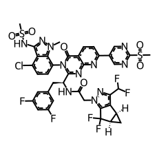 Cn1nc(NS(C)(=O)=O)c2c(Cl)ccc(-n3c([C@H](Cc4cc(F)cc(F)c4)NC(=O)Cn4nc(C(F)F)c5c4C(F)(F)[C@@H]4C[C@H]54)nc4nc(-c5cnc(S(C)(=O)=O)nc5)ccc4c3=O)c21